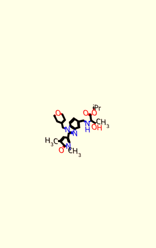 Cc1cc(-c2nc3cc(CN[C@@H](C(=O)OC(C)C)[C@H](C)O)ccc3n2CC2CCOCC2)cn(C)c1=O